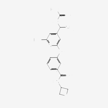 NC(OC(=O)C(F)(F)F)c1cc(Oc2cccc(C(=O)NC3COC3)c2)nc(C(F)(F)F)c1